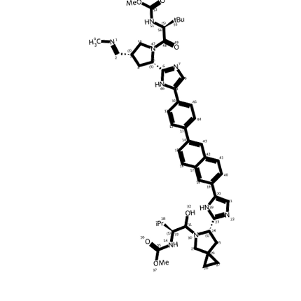 CN=C[C@H]1C[C@@H](c2ncc(-c3ccc(-c4ccc5cc(-c6cnc([C@@H]7CC8(CC8)CN7C(O)[C@@H](NC(=O)OC)C(C)C)[nH]6)ccc5c4)cc3)[nH]2)N(C(=O)[C@@H](NC(=O)OC)C(C)(C)C)C1